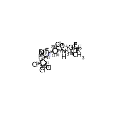 CN(CC(C=O)NC(=O)c1ccc(/C(F)=C/C(c2cc(Cl)c(Cl)c(Cl)c2)C(F)(F)F)cc1Cl)CC(F)(F)F